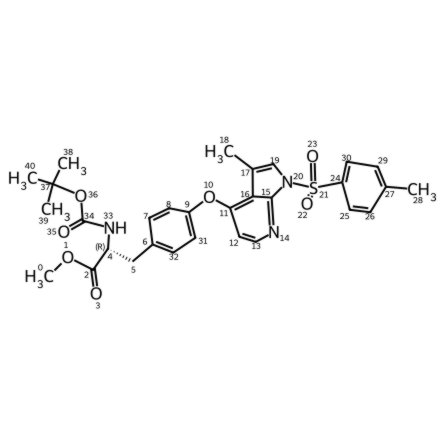 COC(=O)[C@@H](Cc1ccc(Oc2ccnc3c2c(C)cn3S(=O)(=O)c2ccc(C)cc2)cc1)NC(=O)OC(C)(C)C